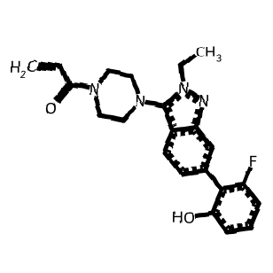 C=CC(=O)N1CCN(c2c3ccc(-c4c(O)cccc4F)cc3nn2CC)CC1